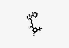 CC(C)(C)c1cc(Cl)cc(C(=O)CCCc2ncnn2-c2ncccn2)c1